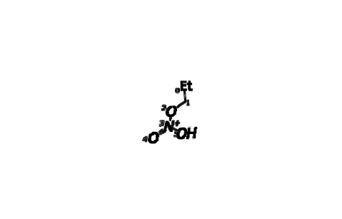 CCCO[N+](=O)O